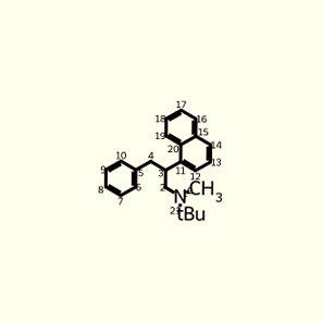 CN(CC(Cc1ccccc1)c1cccc2ccccc12)C(C)(C)C